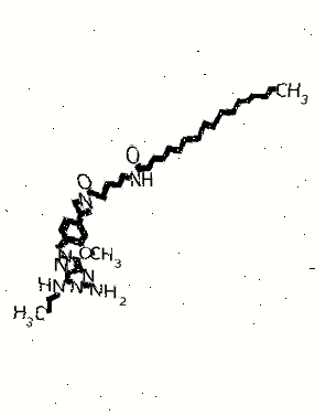 CCCCCCCCCCCCCCCCCC(=O)NCCCCC(=O)N1CC(c2ccc(Cn3cc4nc(N)nc(NCCCC)c4n3)c(OC)c2)C1